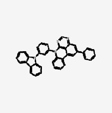 c1ccc(-c2cc3c4c(ncnc4c2)N(c2cccc(-n4c5ccccc5c5ccccc54)c2)c2ccccc2-3)cc1